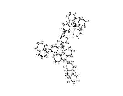 c1ccc([Si](c2ccccc2)(c2ccccc2)c2cccc(-c3ccc(N(c4ccc(-c5cccc6ccccc56)cc4)c4cccc5c4c4ccccc4n5-c4ccc5c(c4)oc4ccccc45)cc3)c2)cc1